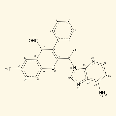 CC(C1=C(c2ccccc2)C(C=O)c2cc(F)ccc2O1)n1cnc2c(N)ncnc21